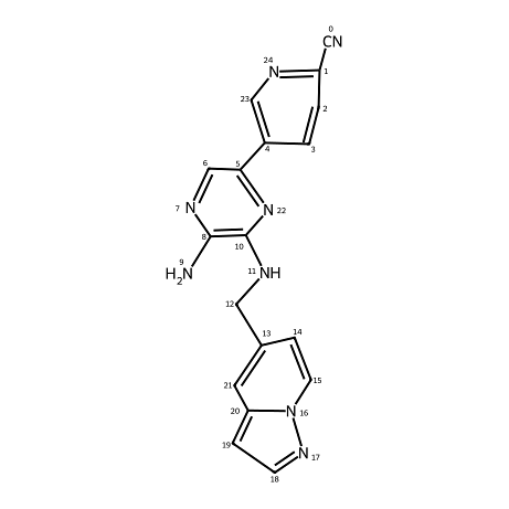 N#Cc1ccc(-c2cnc(N)c(NCc3ccn4nccc4c3)n2)cn1